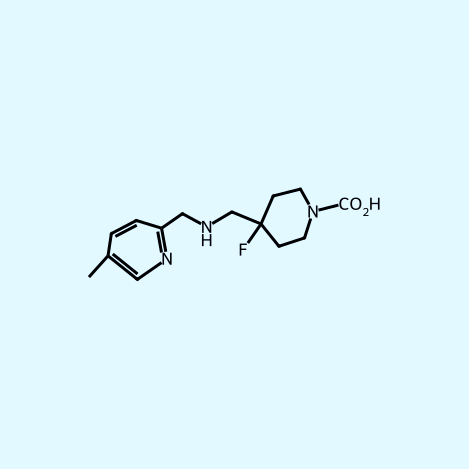 Cc1ccc(CNCC2(F)CCN(C(=O)O)CC2)nc1